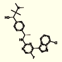 C[C@H](Nc1ncc(F)c(-c2cnc3c(Cl)cccn23)n1)c1ccc(C(O)C(C)(C)N(C)C)cc1